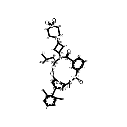 Cc1cccc(C)c1-c1cc2nc(n1)N[S+]([O-])c1cccc(c1)C(=O)N(C1CC(N3CCS(=O)(=O)CC3)C1)[C@H](CC(C)C)CO2